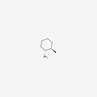 B[C@@H]1CCCC[C@H]1C